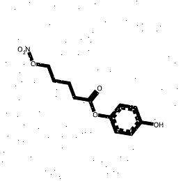 O=C(CCCCO[N+](=O)[O-])Oc1ccc(O)cc1